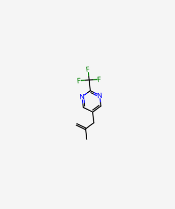 C=C(C)Cc1cnc(C(F)(F)F)nc1